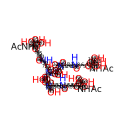 CC(=O)NC1C(OCCCCCC(=O)NCCCCCC(=O)N(CCO)CCOP(=O)(O)OCCN(CCOP(=O)(O)OCCN(CCO)C(=O)CCCCCNC(=O)CCCCCOC2OC(CO)C(O)C(O)C2NC(C)=O)C(=O)CCCCCNC(=O)CCCCCOC2OC(CO)C(O)C(O)C2NC(C)=O)OC(CO)C(O)C1O